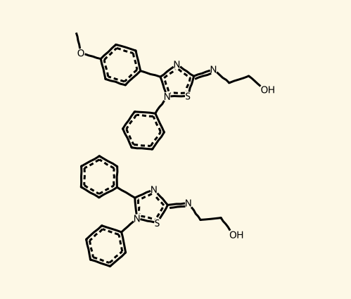 COc1ccc(-c2n/c(=N/CCO)sn2-c2ccccc2)cc1.OCC/N=c1/nc(-c2ccccc2)n(-c2ccccc2)s1